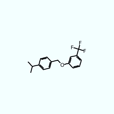 CC(C)c1ccc(COc2cccc(C(F)(F)F)c2)cc1